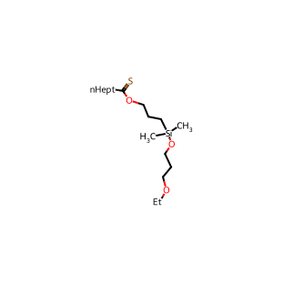 CCCCCCCC(=S)OCCC[Si](C)(C)OCCCOCC